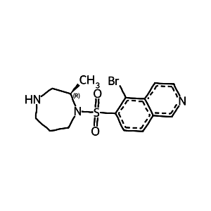 C[C@@H]1CNCCCN1S(=O)(=O)c1ccc2cnccc2c1Br